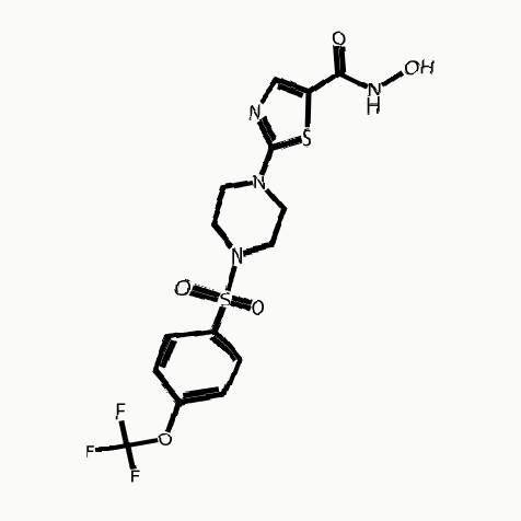 O=C(NO)c1cnc(N2CCN(S(=O)(=O)c3ccc(OC(F)(F)F)cc3)CC2)s1